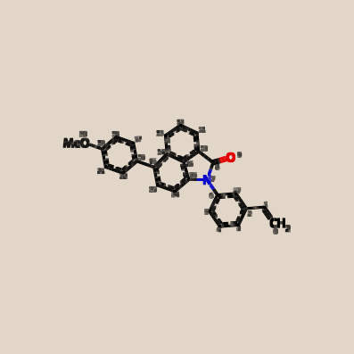 C=Cc1cccc(N2C(=O)c3cccc4c(-c5ccc(OC)cc5)ccc2c34)c1